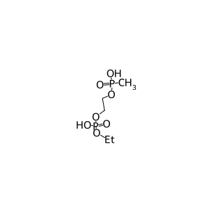 CCOP(=O)(O)OCCOP(C)(=O)O